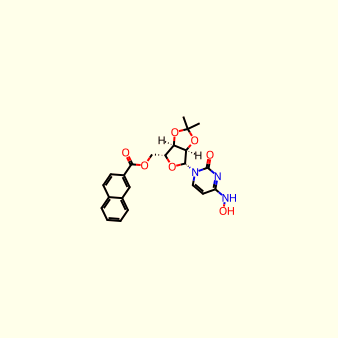 CC1(C)O[C@@H]2[C@H](O1)[C@@H](COC(=O)c1ccc3ccccc3c1)O[C@H]2n1ccc(NO)nc1=O